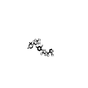 CCC(=O)N[C@H](Cc1ccc(NC(=O)[C@H](C)NC(=O)c2ccnn2CC)c(F)c1)C(=O)N1CCN(C)CC1(C)C